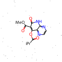 COC(=O)c1c(OC(=O)C(C)C)c2nccnc2[nH]c1=O